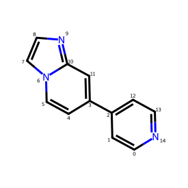 c1cc(-c2ccn3ccnc3c2)ccn1